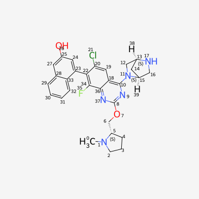 CN1CCC[C@H]1COc1nc(N2C[C@@H]3C[C@H]2CN3)c2cc(Cl)c(-c3cc(O)cc4ccccc34)c(F)c2n1